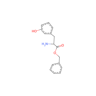 NC(Cc1cccc(O)c1)C(=O)OCc1ccccc1